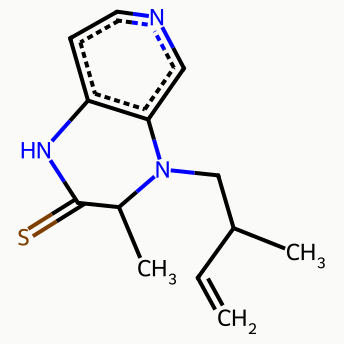 C=CC(C)CN1c2cnccc2NC(=S)C1C